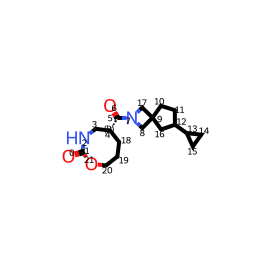 O=C1NC[C@H](C(=O)N2CC3(CCC(C4CC4)C3)C2)CCCO1